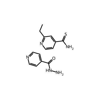 CCc1cc(C(N)=S)ccn1.NNC(=O)c1ccncc1